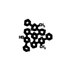 Cc1cc(-c2ccccc2)ncc1-c1ccccc1-c1cc(-c2ccccc2-c2cnc(-c3ccccc3)cc2C)cc(-c2ccccc2-c2cnc(-c3ccccc3)cc2O)c1